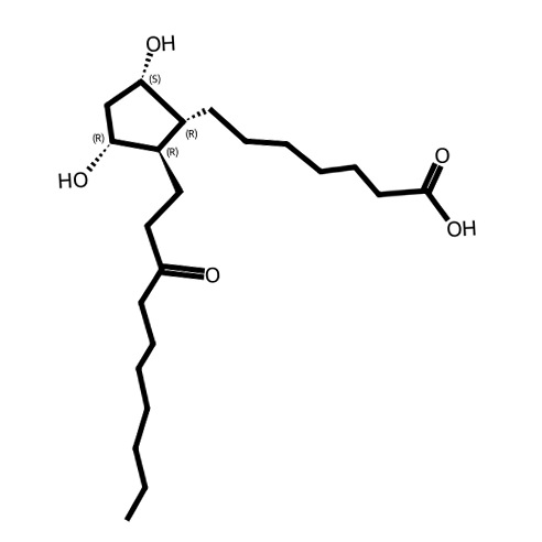 CCCCCCCC(=O)CC[C@@H]1[C@@H](CCCCCCC(=O)O)[C@@H](O)C[C@H]1O